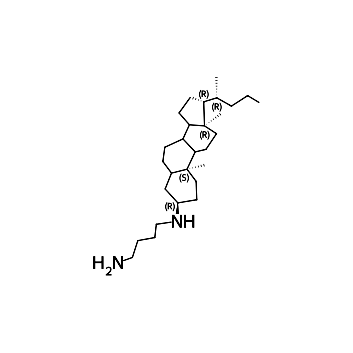 CCC[C@@H](C)[C@H]1CCC2C3CCC4C[C@H](NCCCCN)CC[C@]4(C)C3CC[C@@]21C